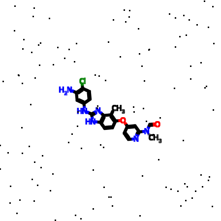 Cc1c(Oc2ccnc(N(C)C=O)c2)ccc2[nH]c(Nc3ccc(Cl)c(N)c3)nc12